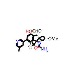 O=CO.[2H]C1([2H])OC(N)=NC12c1cc(-c3cncc(C)c3)ccc1C[C@]21CC[C@@H](OC)CC1